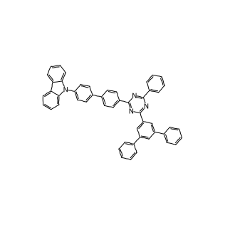 c1ccc(-c2cc(-c3ccccc3)cc(-c3nc(-c4ccccc4)nc(-c4ccc(-c5ccc(-n6c7ccccc7c7ccccc76)cc5)cc4)n3)c2)cc1